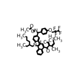 CC/C=C(/C)C(C(=O)c1cc2c3cc(/C(=N\OC(C)=O)c4ccc(OCC(F)(F)C(F)F)cc4)ccc3n(CC(CC)CCCC)c2c2ccccc12)=C(C)C